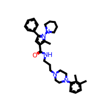 Cc1cccc(N2CCN(CCCNC(=O)c3cc(-c4ccccc4)n(N4CCCCC4)c3C)CC2)c1C